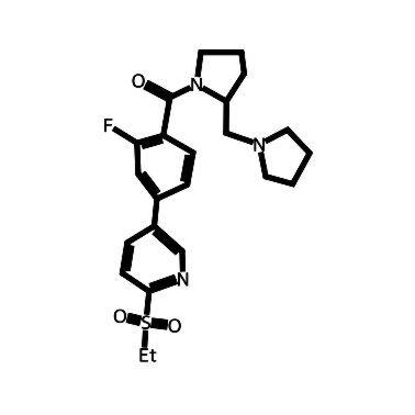 CCS(=O)(=O)c1ccc(-c2ccc(C(=O)N3CCCC3CN3CCCC3)c(F)c2)cn1